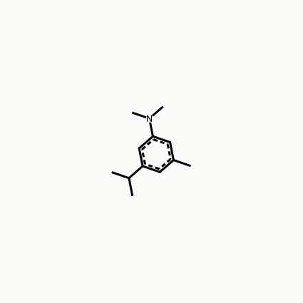 Cc1cc(C(C)C)cc(N(C)C)c1